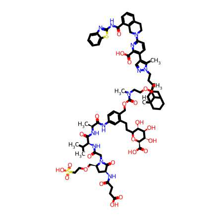 CCC1C2CCCC1(C)CC(CCCn1ncc(-c3ccc(N4CCc5cccc(C(=O)Nc6nc7ccccc7s6)c5C4)nc3C(=O)O)c1C)(OCCN(C)C(=O)OCc1ccc(NC(=O)[C@H](C)NC(=O)[C@@H](NC(=O)CN3C(=O)[C@@H](NC(=O)CCC(=O)O)C[C@H]3COCCS(=O)(=O)O)C(C)C)cc1CCC1O[C@H](C(=O)O)[C@@H](O)[C@H](O)[C@H]1O)C2